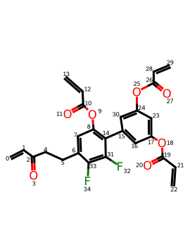 C=CC(=O)CCc1cc(OC(=O)C=C)c(-c2cc(OC(=O)C=C)cc(OC(=O)C=C)c2)c(F)c1F